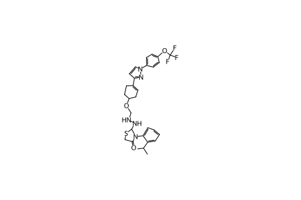 CC(C)c1ccccc1N1C(=O)CSC1NNCOC1CC=C(c2ccn(-c3ccc(OC(F)(F)F)cc3)n2)CC1